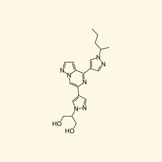 CCCC(C)n1cc(-c2nc(-c3cnn(C(CO)CO)c3)cn3nccc23)cn1